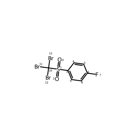 O=S(=O)(c1ccc(F)cc1)C(Br)(Br)Br